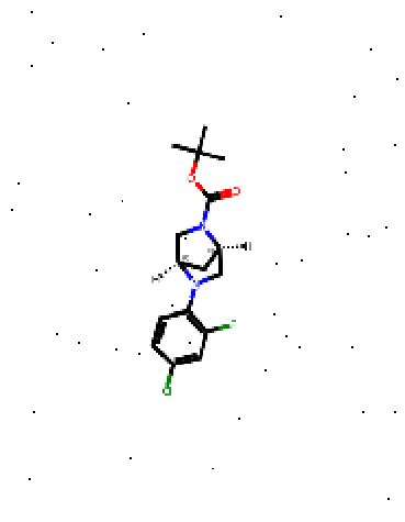 CC(C)(C)OC(=O)N1C[C@H]2C[C@@H]1CN2c1ccc(Cl)cc1F